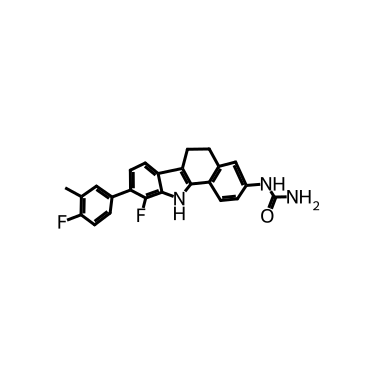 Cc1cc(-c2ccc3c4c([nH]c3c2F)-c2ccc(NC(N)=O)cc2CC4)ccc1F